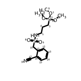 CO[Si](CCCNS(=O)(=O)Cc1ccccc1C#N)(OC)OC